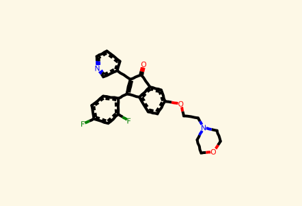 O=C1C(c2cccnc2)=C(c2ccc(F)cc2F)c2ccc(OCCN3CCOCC3)cc21